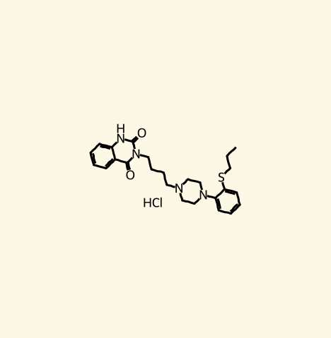 CCCSc1ccccc1N1CCN(CCCCn2c(=O)[nH]c3ccccc3c2=O)CC1.Cl